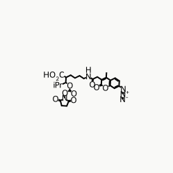 Cc1c(CC(=O)NCCCCC(C(=O)O)C(OC(=O)ON2C(=O)CCC2=O)C(C)C)c(=O)oc2cc(N=[N+]=[N-])ccc12